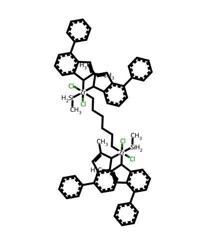 C[SiH2][Zr]([Cl])([Cl])([CH2]CCCC[CH2][Zr]([Cl])([Cl])([SiH2]C)([CH]1C(C)=Cc2c(-c3ccccc3)cccc21)[CH]1C(C)=Cc2c(-c3ccccc3)cccc21)([CH]1C(C)=Cc2c(-c3ccccc3)cccc21)[CH]1C(C)=Cc2c(-c3ccccc3)cccc21